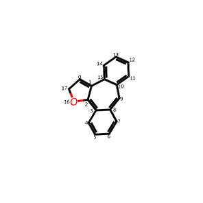 C1=C2C(=c3ccccc3=Cc3ccccc32)OC1